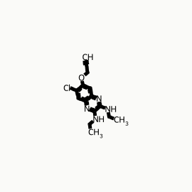 C#CCOc1cc2nc(NCC)c(NCC)nc2cc1Cl